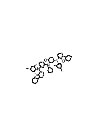 Cc1ccc(N(c2ccc3c(c2)N(c2ccccc2)c2cc(N(c4ccc(C)cc4C)c4cccc5c4oc4ccccc45)ccc2O3)c2cccc3c2oc2ccccc23)c(C)c1